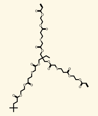 C=CC(=O)OCCOC(=O)CCSCC(=O)OCC(CC)(COC(=O)CSCCC(=O)OCCOC(=O)C=C)COC(=O)CSCCC(=O)OCCOC(=O)CCC(C)(C)C